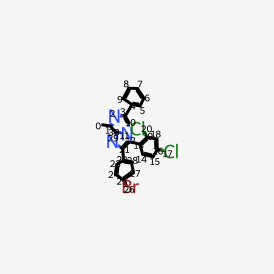 Cc1nc(-c2ccccc2)cn2c(-c3ccc(Cl)cc3Cl)c(-c3ccc(Br)cc3)nc12